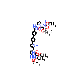 COC(=O)N[C@H](C(=O)N1CCC[C@H]1Cc1ccc(-c2ccc(-c3ccc(-c4cnc([C@@H]5CCCN5C(=O)[C@@H](NC(=O)OC)[C@@H](C)OC)[nH]4)cc3)cc2)[nH]1)[C@@H](C)OC